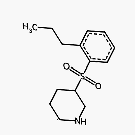 CCCc1ccccc1S(=O)(=O)C1CC[CH]NC1